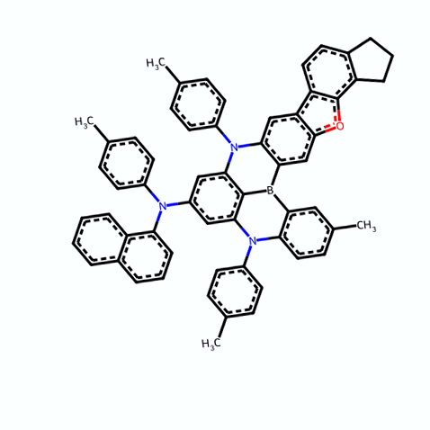 Cc1ccc(N2c3ccc(C)cc3B3c4cc5oc6c7c(ccc6c5cc4N(c4ccc(C)cc4)c4cc(N(c5ccc(C)cc5)c5cccc6ccccc56)cc2c43)CCC7)cc1